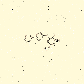 CC(=O)SC(Cc1ccc(-c2ccccc2)cc1)C(=O)O